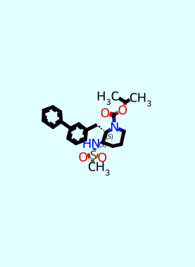 CC(C)OC(=O)N1CCC[C@H](NS(C)(=O)=O)[C@@H]1Cc1cccc(-c2ccccc2)c1